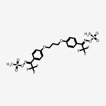 CS(=O)(=O)O/N=C(/c1ccc(OCCCOc2ccc(/C(=N/OS(=O)(=O)P)C(F)(F)F)cc2)cc1)C(F)(F)F